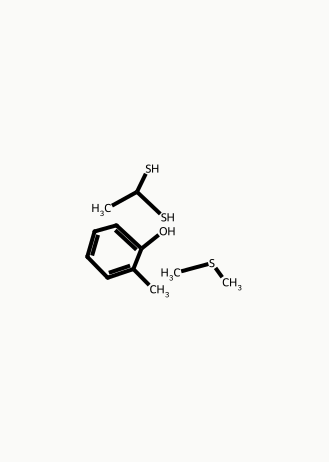 CC(S)S.CSC.Cc1ccccc1O